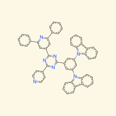 c1ccc(-c2cc(-c3nc(-c4ccncc4)nc(-c4cc(-n5c6ccccc6c6ccccc65)cc(-n5c6ccccc6c6ccccc65)c4)n3)cc(-c3ccccc3)n2)cc1